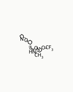 CC(NC(=O)[C@H]1C[C@@H]1c1cccc(OCc2ccccn2)c1)c1ccc(OCC(F)(F)F)cn1